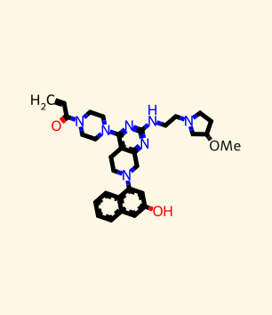 C=CC(=O)N1CCN(c2nc(NCCN3CCC(OC)C3)nc3c2CCN(c2cc(O)cc4ccccc24)C3)CC1